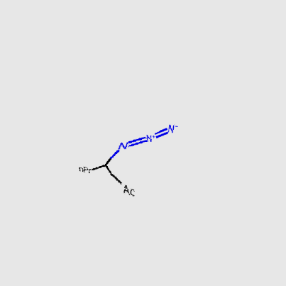 CCCC(N=[N+]=[N-])C(C)=O